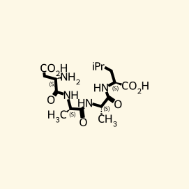 CC(C)C[C@H](NC(=O)[C@H](C)NC(=O)[C@H](C)NC(=O)[C@@H](N)CC(=O)O)C(=O)O